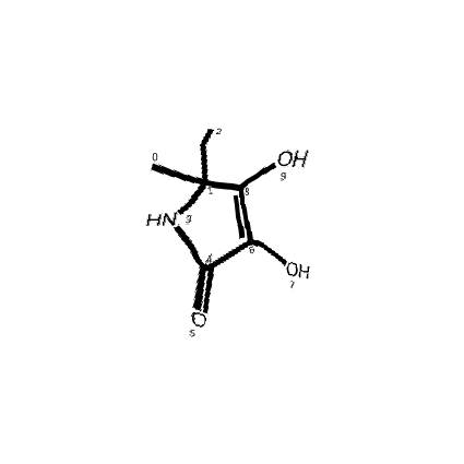 CC1(C)NC(=O)C(O)=C1O